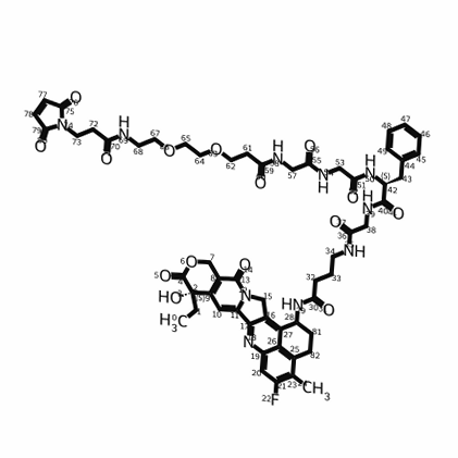 CC[C@@]1(O)C(=O)OCc2c1cc1n(c2=O)Cc2c-1nc1cc(F)c(C)c3c1c2C(NC(=O)CCCNC(=O)CNC(=O)[C@H](Cc1ccccc1)NC(=O)CNC(=O)CNC(=O)CCOCCOCCNC(=O)CCN1C(=O)C=CC1=O)CC3